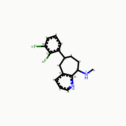 CNC1CCC(c2cccc(F)c2F)Cc2cccnc21